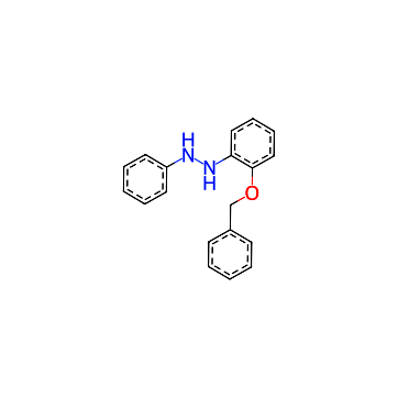 c1ccc(COc2ccccc2NNc2ccccc2)cc1